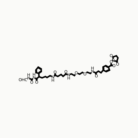 O=CNC(=O)NC(=O)C(CCCCNC(=O)CCCC(=O)NCCOCCOCCNC(=O)CCc1ccc(C(=O)ON2C(=O)CCC2=O)cc1)c1ccccc1